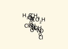 CC1(C)CN(C(=O)O)[C@H](c2ccc(-n3c(Cl)cc4c(=O)n(CC5(O)CCN(C(=O)c6ccc(Cl)cc6)CC5)cnc43)cc2)CO1